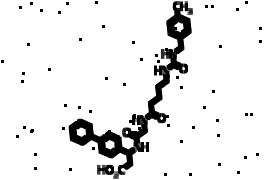 Cc1ccc(CNC(=O)NCCCCC(=O)NCC(=O)NC(CC(=O)O)c2ccc(-c3ccccc3)cc2)cc1